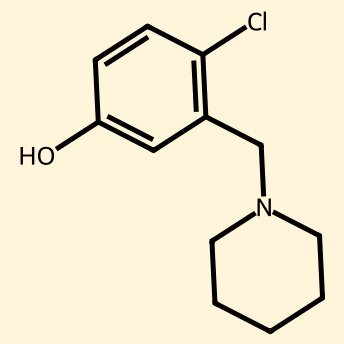 Oc1ccc(Cl)c(CN2CCCCC2)c1